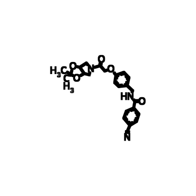 CC1(C)OC2CN(C(=O)COc3ccc(CNC(=O)c4ccc(C#N)cc4)cc3)CC2O1